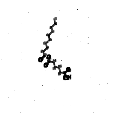 CCCCCCCCCC(=O)OC(=O)CCCCC(=O)O